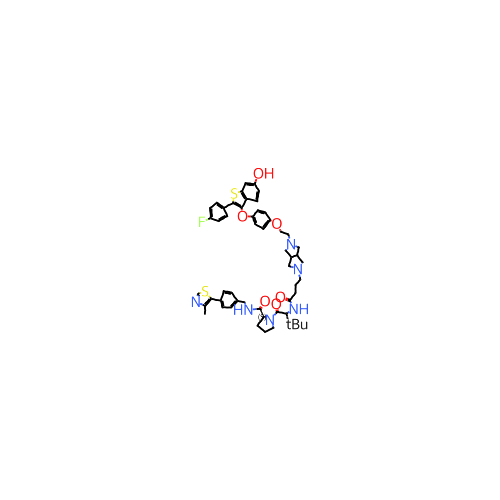 Cc1ncsc1-c1ccc(CNC(=O)[C@@H]2CCCN2C(=O)C(NC(=O)CCCN2CC3CN(CCOc4ccc(Oc5c(-c6ccc(F)cc6)sc6cc(O)ccc56)cc4)CC3C2)C(C)(C)C)cc1